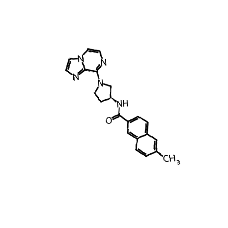 Cc1ccc2cc(C(=O)N[C@H]3CCN(c4nccn5ccnc45)C3)ccc2c1